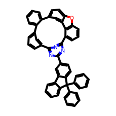 c1ccc(C2(c3ccccc3)c3ccccc3-c3cc(-c4nc5nc(n4)c4cccc6oc7ccc(cc7c64)c4ccccc4c4cccc5c4)ccc32)cc1